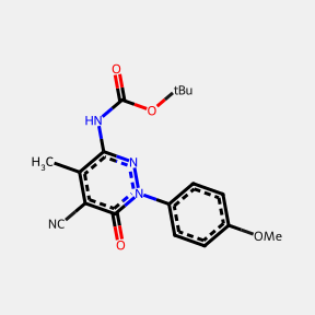 COc1ccc(-n2nc(NC(=O)OC(C)(C)C)c(C)c(C#N)c2=O)cc1